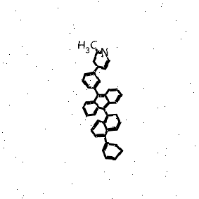 CC1=NC=CC(c2cccc(-c3c4ccccc4c(C4=c5cccc(C6=CC=CCC6)c5=CCC4)c4ccccc34)c2)C1